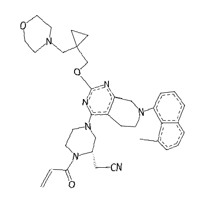 C=CC(=O)N1CCN(c2nc(OCC3(CN4CCOCC4)CC3)nc3c2CCN(c2cccc4cccc(C)c24)C3)C[C@@H]1CC#N